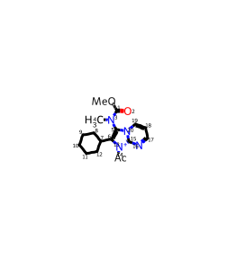 COC(=O)N(C)c1c(C2CCCCC2)[n+](C(C)=O)c2ncccn12